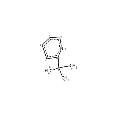 CC(C)(C)c1ccc[c]n1